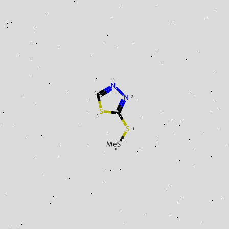 CSSc1nncs1